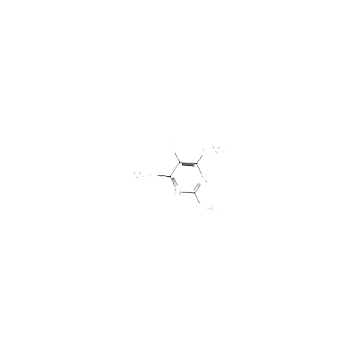 COc1nc(C)nc(OC)c1F